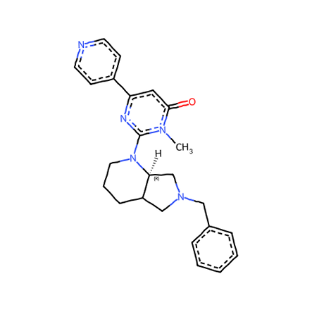 Cn1c(N2CCCC3CN(Cc4ccccc4)C[C@@H]32)nc(-c2ccncc2)cc1=O